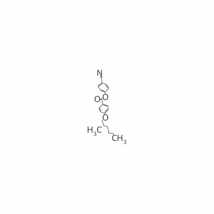 CCCC[C@H](C)COc1ccc(C(=O)Oc2ccc(C#N)cc2)cc1